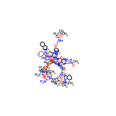 CC(=O)NCCCC[C@@H]1NC(=O)[C@H](Cc2c[nH]c3c(C)cccc23)NC(=O)[C@H]([C@@H](C)OC(C)(C)C)NC(=O)[C@H](CC(N)=O)NC(=O)[C@@H](NC(C)=O)C(C)(C)SSC(C)(C)[C@@H](C(=O)N[C@@H](Cc2ccc(OCCNC(=O)OC(C)(C)C)cc2)C(=O)N[C@@H](Cc2ccc3ccccc3c2)C(=O)NC2(C(=O)N[C@@H](CCC(=O)OC(C)(C)C)C(=O)N[C@@H](CC(N)=O)C(=O)N[C@@H](Cc3cccnc3)C(=O)N(C)CC(N)=O)CCOCC2)NC1=O